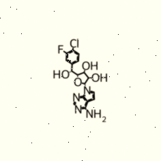 Nc1ncnc2c1ccn2[C@@H]1O[C@H]([C@H](O)c2ccc(Cl)c(F)c2)[C@@H](O)[C@H]1O